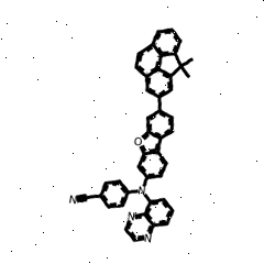 CC1(C)c2cccc3ccc4cc(-c5ccc6c(c5)oc5cc(N(c7ccc(C#N)cc7)c7cccc8nccnc78)ccc56)cc1c4c23